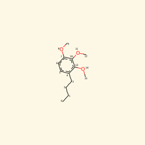 CCCCc1c[c]c(OC)c(OC)c1OC